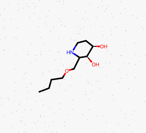 CCCCOCC1NCC[C@@H](O)[C@H]1O